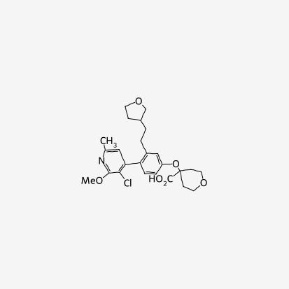 COc1nc(C)cc(-c2ccc(OC3(C(=O)O)CCOCC3)cc2CCC2CCOC2)c1Cl